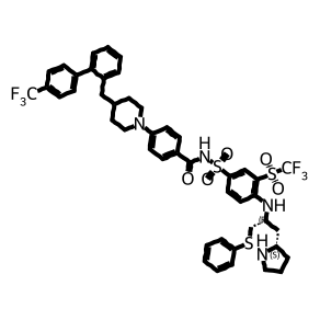 O=C(NS(=O)(=O)c1ccc(N[C@@H](CSc2ccccc2)C[C@@H]2CCCN2)c(S(=O)(=O)C(F)(F)F)c1)c1ccc(N2CCC(Cc3ccccc3-c3ccc(C(F)(F)F)cc3)CC2)cc1